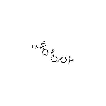 COC1(c2cccc(C(=O)N3CCC[C@@H](c4ccc(C(F)(F)F)cc4)C3)c2)COC1